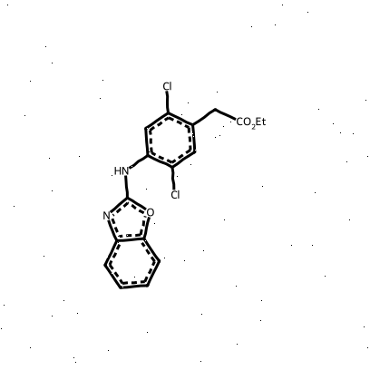 CCOC(=O)Cc1cc(Cl)c(Nc2nc3ccccc3o2)cc1Cl